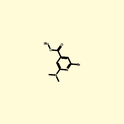 CN(C)c1cc(C(=O)OC(C)(C)C)cc(Br)n1